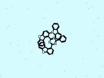 c1ccc(-c2nc(-c3cccc4oc5ccccc5c34)nc(-c3c(-n4c5ccccc5c5ccccc54)ccc4oc5ccccc5c34)n2)cc1